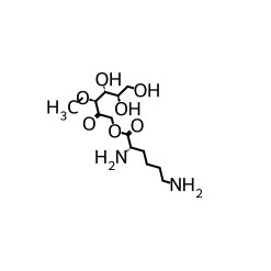 CO[C@H](C(=O)COC(=O)[C@@H](N)CCCCN)[C@H](O)[C@H](O)CO